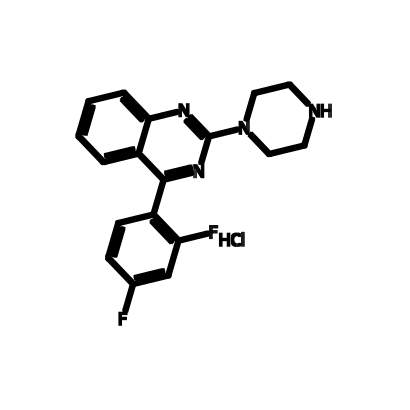 Cl.Fc1ccc(-c2nc(N3CCNCC3)nc3ccccc23)c(F)c1